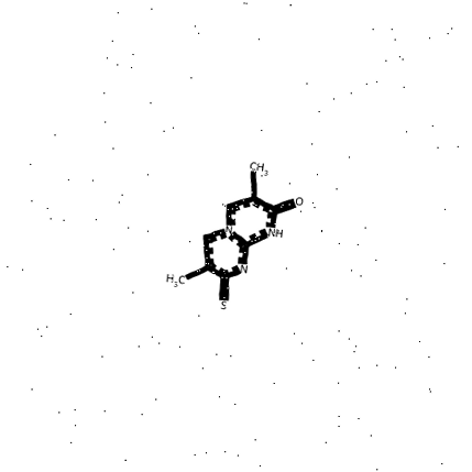 Cc1cn2cc(C)c(=O)[nH]c2nc1=S